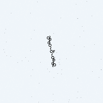 C=CC(=O)OCCOc1ccc(/C=C/c2ccc(/C=C/c3ccc(OCCOC(=O)C=C)cc3)c(F)c2)cc1